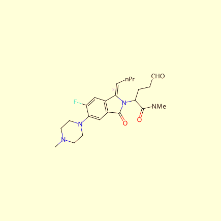 CCC/C=C1/c2cc(F)c(N3CCN(C)CC3)cc2C(=O)N1C(CCC=O)C(=O)NC